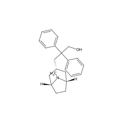 CN1[C@@H]2CC[C@H]1C[C@@H](CC(CO)(c1ccccc1)c1ccccc1)C2